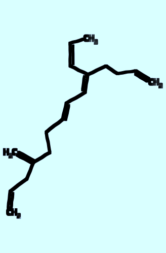 C=CCCC(/C=C\C)=C/C=C/CCC(=C)CC=C